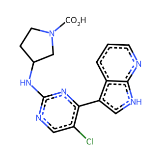 O=C(O)N1CCC(Nc2ncc(Cl)c(-c3c[nH]c4ncccc34)n2)C1